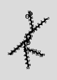 CCCCCCCCCN(CCCCCCC(=O)OC)CCC1CCN(C(=O)CN(CCCCCCCCC)CCN(CCCCCCCCC)CCCCCCCCC)CC1